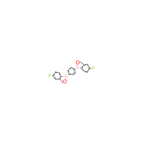 Fc1ccc2c(c1)COB2c1ccc(B2OCc3cc(F)ccc32)cc1